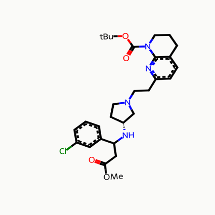 COC(=O)CC(N[C@@H]1CCN(CCc2ccc3c(n2)N(C(=O)OC(C)(C)C)CCC3)C1)c1cccc(Cl)c1